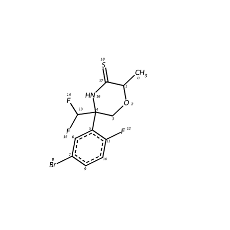 CC1OCC(c2cc(Br)ccc2F)(C(F)F)NC1=S